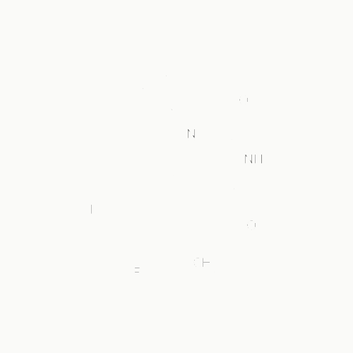 Cc1c(F)c(F)cc2c1c(=O)[nH]c(=O)n2C1CC1